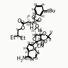 CCC(CC)COC(=O)[C@H](C)NP(=O)(OC[C@H]1O[C@@](C#N)(c2ccc3c(N)ncnn23)[C@@H]2OC(C)(C)O[C@@H]21)Oc1cccc(C(C)(C)C)c1